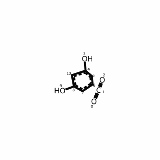 O=C=O.Oc1cccc(O)c1